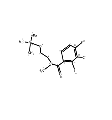 CCCC[Si](C)(C)OCCN(C)C(=O)c1ccc(F)c(Cl)c1F